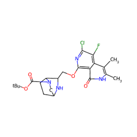 Cc1[nH]c(=O)c2c(OCC3NC4CCC3N(C(=O)OC(C)(C)C)C4)nc(Cl)c(F)c2c1C